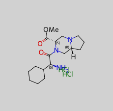 COC(=O)[C@@H]1CN2CCC[C@@H]2CN1C(=O)[C@@H](N)C1CCCCC1.Cl.Cl